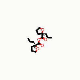 CCC[C@]1(C(=O)OC(=O)[C@]2(CCC)CCCO2)CCCO1